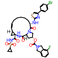 O=C1N[C@]2(C(=O)NS(=O)(=O)C3CC3)C[C@H]2/C=C\CCCCC[C@H](Nc2nc(-c3ccc(Br)cc3)cs2)C(=O)N2C[C@H](OC(=O)N3Cc4cccc(F)c4C3)C[C@@H]12